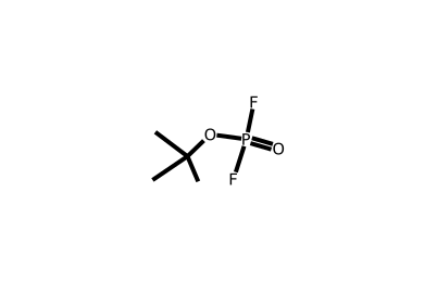 CC(C)(C)OP(=O)(F)F